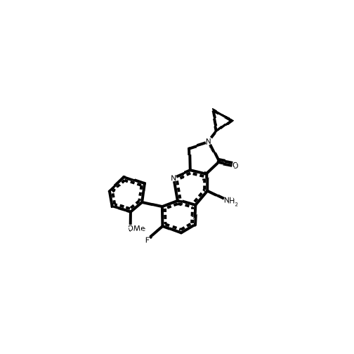 COc1ccccc1-c1c(F)ccc2c(N)c3c(nc12)CN(C1CC1)C3=O